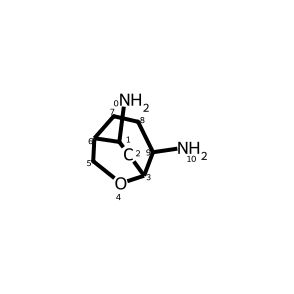 NC1CC2OCC1CCC2N